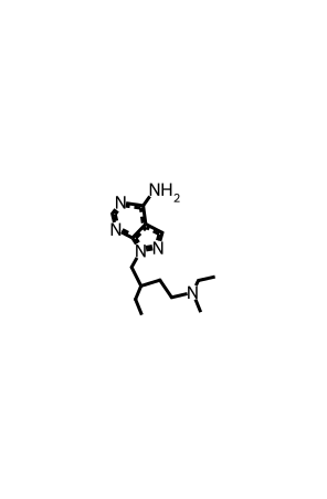 CCC(CCN(C)CC)Cn1ncc2c(N)ncnc21